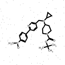 C[S+]([O-])c1ccc(-c2ccc(CN(C3CC3)C3CCN(C(=O)OC(C)(C)C)CC3)cn2)cc1